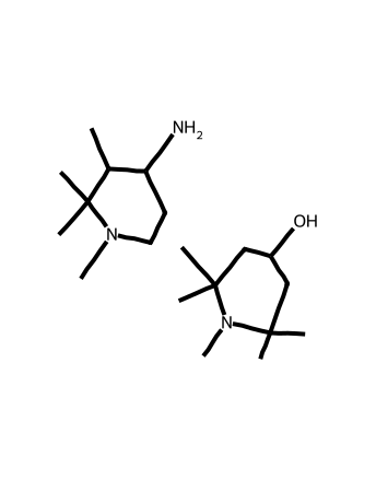 CC1C(N)CCN(C)C1(C)C.CN1C(C)(C)CC(O)CC1(C)C